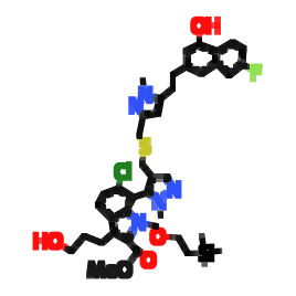 COC(=O)c1c(CCCO)c2ccc(Cl)c(-c3c(CSCc4cc(CCc5cc(O)c6ccc(F)cc6c5)n(C)n4)cnn3C)c2n1COCC[Si](C)(C)C